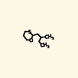 CCC(C)CC1OCCCS1